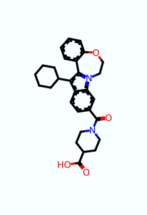 O=C(O)C1CCN(C(=O)c2ccc3c(C4CCCCC4)c4n(c3c2)CCOc2ccccc2-4)CC1